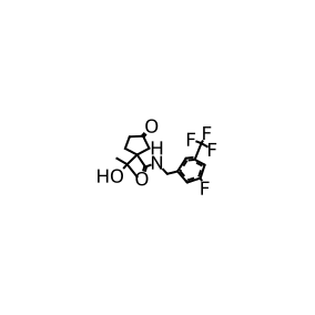 CC(C)(O)C1(C(=O)NCc2cc(F)cc(C(F)(F)F)c2)CCC(=O)C1